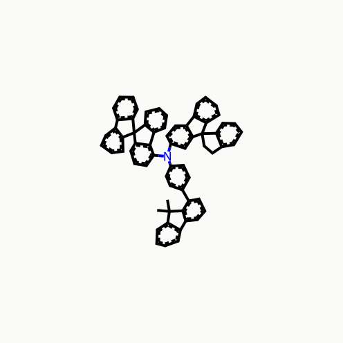 CC1(C)c2ccccc2-c2cccc(-c3ccc(N(c4ccc5c(c4)C4(CCc6ccccc64)c4ccccc4-5)c4cccc5c4-c4ccccc4C54c5ccccc5-c5ccccc54)cc3)c21